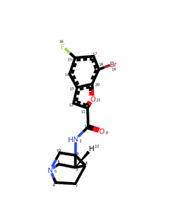 O=C(N[C@H]1CN2CCC1CC2)c1cc2cc(F)cc(Br)c2o1